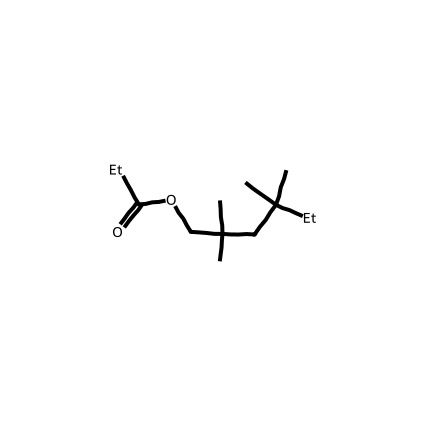 CCC(=O)OCC(C)(C)CC(C)(C)CC